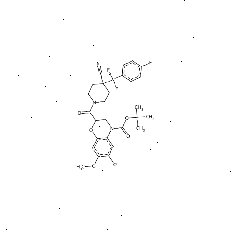 COc1cc2c(cc1Cl)N(C(=O)OC(C)(C)C)CC(C(=O)N1CCC(C#N)(C(F)(F)c3ccc(F)cc3)CC1)O2